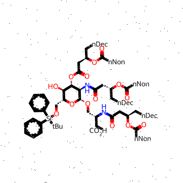 CCCCCCCCCCC[C@H](CC(=O)N[C@@H](CO[C@@H]1O[C@H](CO[Si](c2ccccc2)(c2ccccc2)C(C)(C)C)[C@@H](O)[C@H](OC(=O)C[C@@H](CCCCCCCCCCC)OC(=O)CCCCCCCCC)[C@H]1NC(=O)C[C@@H](CCCCCCCCCCC)OC(=O)CCCCCCCCC)CC(=O)O)OC(=O)CCCCCCCCC